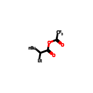 CCCCC(CC)C(=O)OC(=O)C(F)(F)F